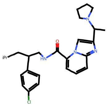 CC(C)CC(CNC(=O)c1cccc2nc(C(C)N3CCCC3)cn12)c1ccc(Cl)cc1